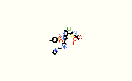 Cc1ccc(S(=O)(=O)n2c(-c3cnn(CCN4CCCC4)c3)cc3c(-c4cnc(C5(O)COC5)s4)c(Cl)cnc32)cc1